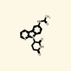 CC(=O)Nc1ccc2c(c1)c1cccnc1n2C1CCC(=O)NC1=O